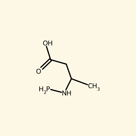 CC(CC(=O)O)NP